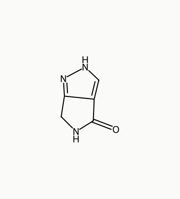 O=C1NCc2n[nH]cc21